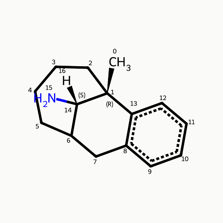 C[C@@]12CCCCC(Cc3ccccc31)[C@@H]2N